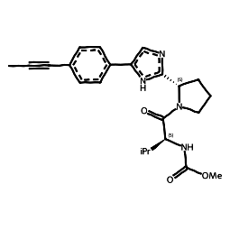 CC#Cc1ccc(-c2cnc([C@@H]3CCCN3C(=O)[C@@H](NC(=O)OC)C(C)C)[nH]2)cc1